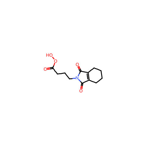 O=C(CCCN1C(=O)C2=C(CCCC2)C1=O)OO